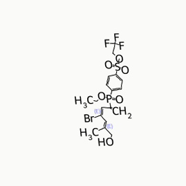 C=C(/C=C(Br)\C=C(/C)CO)P(=O)(OCC)c1ccc(S(=O)(=O)OCC(F)(F)F)cc1